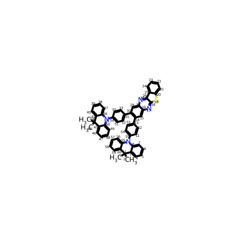 CC1(C)c2ccccc2N(c2ccc(-c3cc4nc5sc6ccccc6c5nc4cc3-c3ccc(N4c5ccccc5C(C)(C)c5ccccc54)cc3)cc2)c2ccccc21